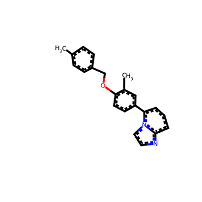 Cc1ccc(COc2ccc(-c3cccc4nccn34)cc2C)cc1